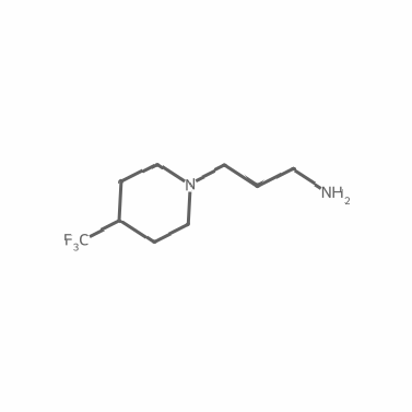 NCCCN1CCC(C(F)(F)F)CC1